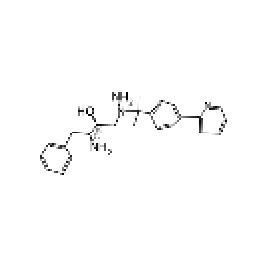 CC(C)(c1ccc(-c2ccccn2)cc1)N(N)C[C@H](O)[C@@H](N)Cc1ccccc1